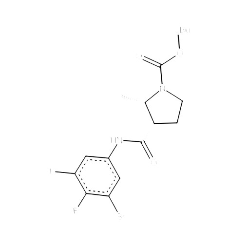 C[C@H]1[C@@H](C(=O)Nc2cc(F)c(F)c(Br)c2)CCN1C(=O)OC(C)(C)C